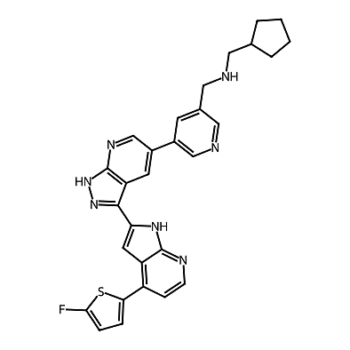 Fc1ccc(-c2ccnc3[nH]c(-c4n[nH]c5ncc(-c6cncc(CNCC7CCCC7)c6)cc45)cc23)s1